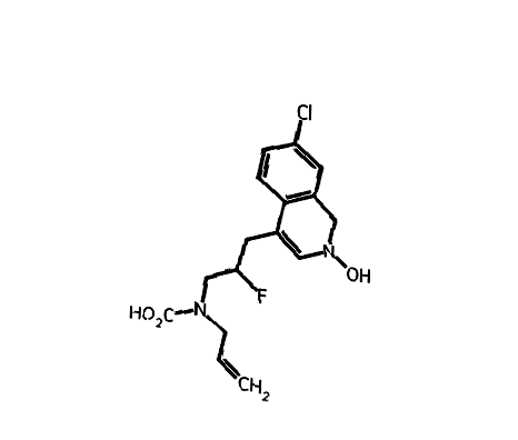 C=CCN(CC(F)CC1=CN(O)Cc2cc(Cl)ccc21)C(=O)O